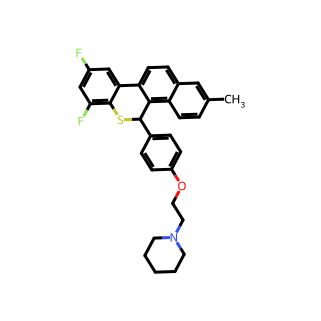 Cc1ccc2c3c(ccc2c1)-c1cc(F)cc(F)c1SC3c1ccc(OCCN2CCCCC2)cc1